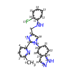 Cc1cccc(-c2nc(CNc3ccccc3F)cn2-c2ccc3[nH]ncc3c2)n1